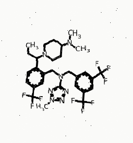 CCC(c1ccc(C(F)(F)F)cc1CN(Cc1cc(C(F)(F)F)cc(C(F)(F)F)c1)c1nnn(C)n1)N1CCC(N(C)C)CC1